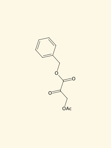 CC(=O)OCC(=O)C(=O)OCc1ccccc1